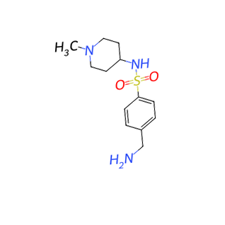 CN1CCC(NS(=O)(=O)c2ccc(CN)cc2)CC1